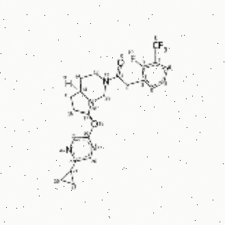 O=C(Cc1cccc(C(F)(F)F)c1F)N1CC[C@@H]2CC[C@H](Oc3cnc(C4CC4)cn3)N2C1